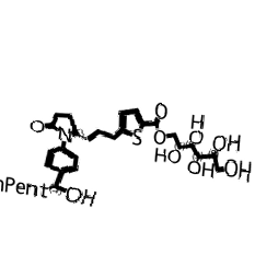 CCCCC[C@H](O)c1ccc(N2C(=O)CC[C@@H]2CCCc2ccc(C(=O)OC[C@H](O)[C@H](O)[C@@H](O)[C@@H](O)CO)s2)cc1